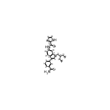 NC(=S)c1cccc(-c2cn(CC(CF)CF)c3cc(NC(=O)c4ncc[nH]4)ccc23)c1